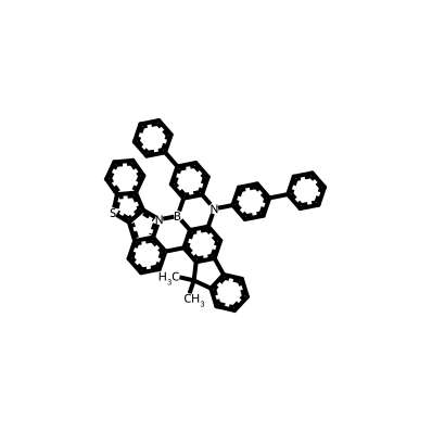 CC1(C)c2ccccc2-c2cc3c4c(c21)-c1cccc2c5sc6ccccc6c5n(c12)B4c1cc(-c2ccccc2)ccc1N3c1ccc(-c2ccccc2)cc1